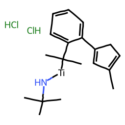 CC1=CCC(c2ccccc2[C](C)(C)[Ti][NH]C(C)(C)C)=C1.Cl.Cl